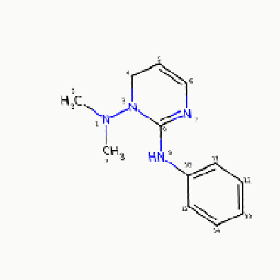 CN(C)N1CC=CN=C1Nc1ccccc1